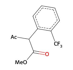 COC(=O)C(C(C)=O)c1ccccc1C(F)(F)F